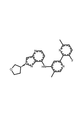 Cc1ccc(F)c(-c2cc(Nc3ccnc4cn([C@H]5CCOC5)nc34)c(C)cn2)n1